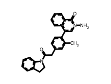 Cc1cc(CC(=O)N2CCc3ccccc32)ccc1-c1cn(N)c(=O)c2ccccc12